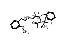 COc1ccccc1CCNC[C@H](O)[C@H](Cc1ccccc1)N(C(=O)O)C(C)(C)C